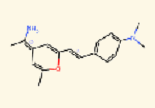 CC1=C/C(=C(\C)N)C=C(/C=C/c2ccc(N(C)C)cc2)O1